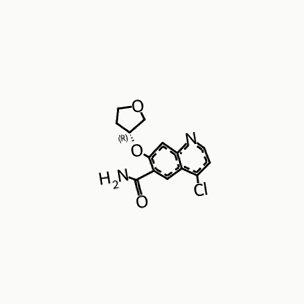 NC(=O)c1cc2c(Cl)ccnc2cc1O[C@@H]1CCOC1